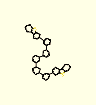 c1cc(-c2cccc(-c3cccc(-c4ccc5c(c4)sc4ccccc45)c3)c2)cc(-c2cccc(-c3cccc(-c4ccc5c(c4)sc4ccccc45)c3)c2)c1